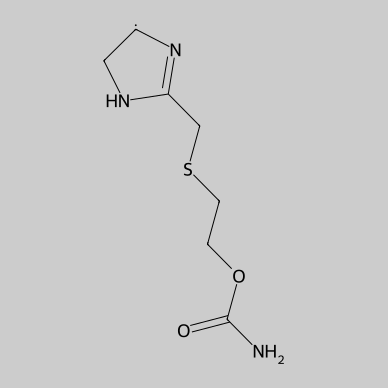 NC(=O)OCCSCC1=N[CH]CN1